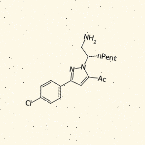 CCCCCC(CN)n1nc(-c2ccc(Cl)cc2)cc1C(C)=O